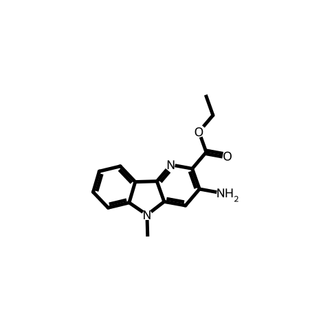 CCOC(=O)c1nc2c3ccccc3n(C)c2cc1N